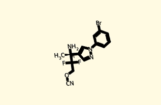 C[C@@](N)(c1cnn(-c2cccc(Br)c2)c1)C(F)(F)COC#N